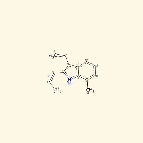 C=Cc1c(/C=C\C)[nH]c2c(C)cccc12